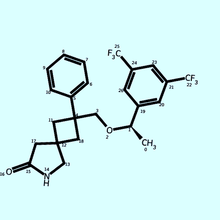 C[C@@H](OCC1(c2ccccc2)CC2(CNC(=O)C2)C1)c1cc(C(F)(F)F)cc(C(F)(F)F)c1